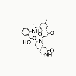 Cc1cc([C@@H](C)Nc2ccccc2C(=O)O)c2oc(N3CCC[C@@]4(CCNC(=O)C4)C3)cc(=O)c2c1